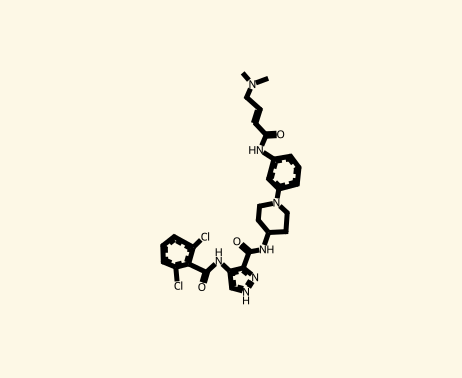 CN(C)CC=CC(=O)Nc1cccc(N2CCC(NC(=O)c3n[nH]cc3NC(=O)c3c(Cl)cccc3Cl)CC2)c1